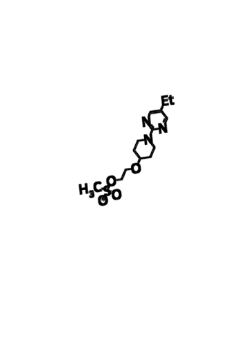 CCc1cnc(N2CCC(OCCOS(C)(=O)=O)CC2)nc1